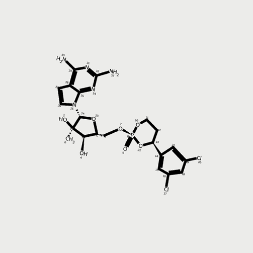 C[C@@]1(O)[C@H](O)[C@@H](CO[P@@]2(=O)OCC[C@@H](c3cc(Cl)cc(Cl)c3)O2)O[C@H]1n1ccc2c(N)nc(N)nc21